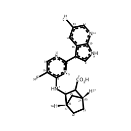 O=C(O)C1C(Nc2nc(-c3c[nH]c4ncc(Cl)cc34)ncc2F)[C@H]2CC[C@@H]1C2